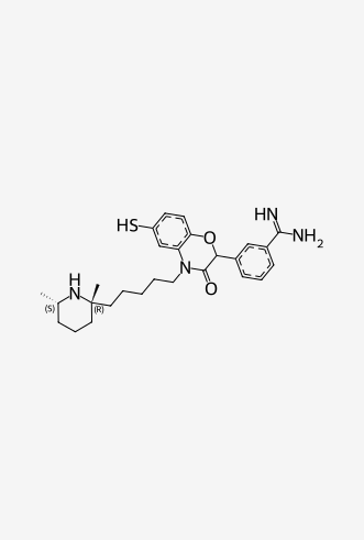 C[C@H]1CCC[C@@](C)(CCCCCN2C(=O)C(c3cccc(C(=N)N)c3)Oc3ccc(S)cc32)N1